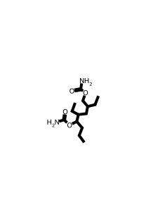 CCCC(OC(N)=O)C(CC)CC(CC)COC(N)=O